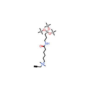 C#CC[N+](C)(C)CCCCCC(=O)NCCC[Si](O[Si](C)(C)C)(O[Si](C)(C)C)O[Si](C)(C)C